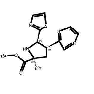 CCC[C@@]1(C(=O)OC(C)(C)C)C[C@H](c2cnccn2)[C@H](c2nccs2)N1